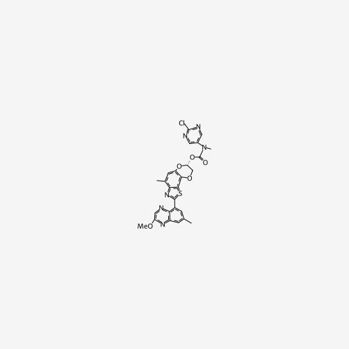 COc1cnc2c(-c3nc4c(C)cc5c(c4s3)OC[C@@H](OC(=O)N(C)c3cnc(Cl)nc3)O5)cc(C)cc2n1